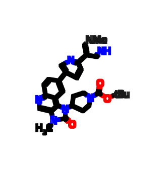 CN/C=C(\C=N)c1ccc(-c2ccc3ncc4c(c3c2)n(C2CCN(C(=O)OC(C)(C)C)CC2)c(=O)n4C)cn1